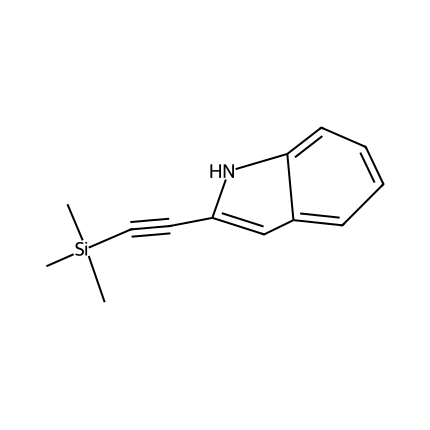 C[Si](C)(C)C#Cc1cc2ccccc2[nH]1